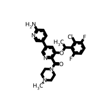 CC(Oc1cc(-c2ccc(N)nc2)cnc1C(=O)N1CCN(C)CC1)c1c(F)ccc(F)c1Cl